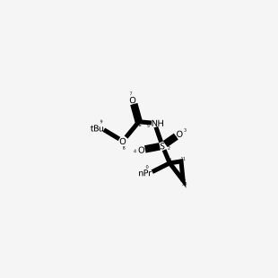 CCCC1(S(=O)(=O)NC(=O)OC(C)(C)C)CC1